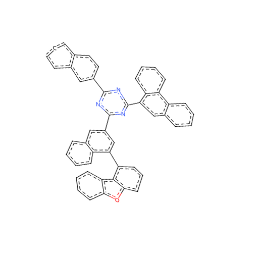 c1ccc2cc(-c3nc(-c4cc(-c5cccc6oc7ccccc7c56)c5ccccc5c4)nc(-c4cc5ccccc5c5ccccc45)n3)ccc2c1